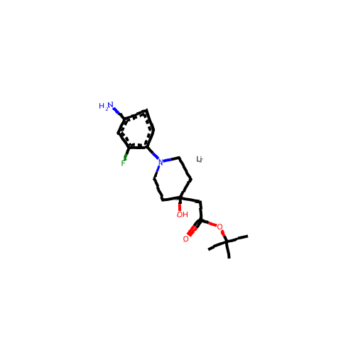 CC(C)(C)OC(=O)CC1(O)CCN(c2ccc(N)cc2F)CC1.[Li]